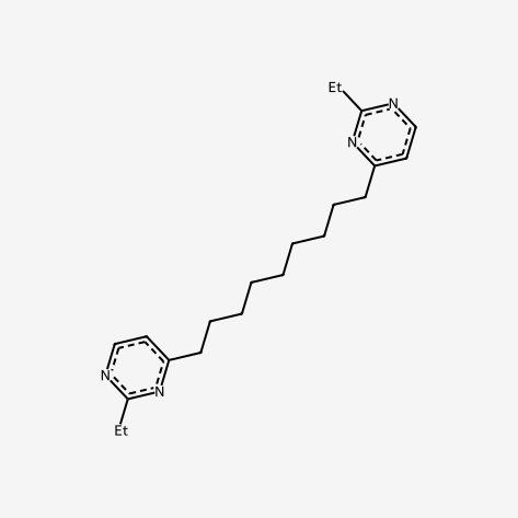 CCc1nccc(CCCCCCCCCc2ccnc(CC)n2)n1